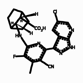 Cc1c(F)c(N[C@H]2C3CCC(CC3)[C@@H]2C(=O)O)nc(-c2n[nH]c3ncc(Cl)cc23)c1C#N